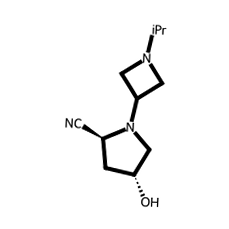 CC(C)N1CC(N2C[C@H](O)C[C@H]2C#N)C1